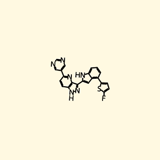 Fc1ccc(-c2cccc3[nH]c(-c4n[nH]c5ccc(-c6cncnc6)nc45)cc23)s1